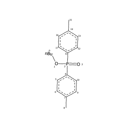 CCCCOP(=O)(c1ccc(C)cc1)c1ccc(C)cc1